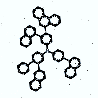 c1ccc(-c2ccc(N(c3ccc(-c4cccc5ccccc45)cc3)c3ccc(-c4cc5ccccc5c5ccccc45)c(-c4cccc5ccccc45)c3)cc2-c2ccc3ccccc3c2)cc1